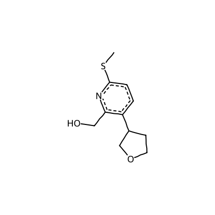 CSc1ccc(C2CCOC2)c(CO)n1